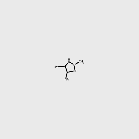 CCCC1NN(C)NC1C(C)C